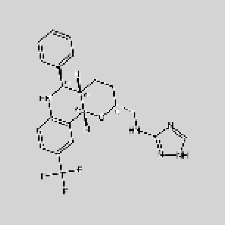 FC(F)(F)c1ccc2c(c1)[C@H]1O[C@@H](CNc3nc[nH]n3)CC[C@H]1[C@H](c1ccccc1)N2